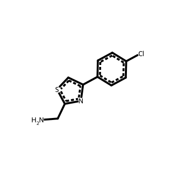 NCc1nc(-c2ccc(Cl)cc2)cs1